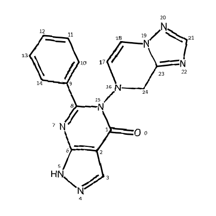 O=c1c2cn[nH]c2nc(-c2ccccc2)n1N1C=Cn2ncnc2C1